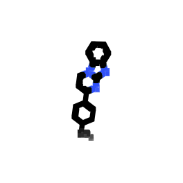 O=[N+]([O-])C1C=CC(c2ccn3c(n2)nc2ccccc23)=CC1